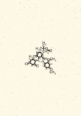 CC(C)(C)OC=O.COc1ccc(CNc2ncnc(C)c2Cc2ccc(Cl)cc2Cl)c(OC)c1